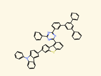 c1ccc(-c2cc(-c3ccccc3)cc(-c3cccc(-c4nc(-c5ccccc5)nc(-c5cccc6sc7cc(-c8ccc9c(c8)c8ccccc8n9-c8ccccc8)ccc7c56)n4)c3)c2)cc1